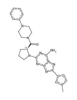 Cc1ccc(-c2nc3nc(N4CCC[C@H]4C(=O)N4CCN(c5ccccc5)CC4)nc(N)n3n2)o1